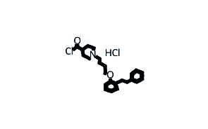 Cl.O=C(Cl)C1CCN(CCCCOc2ccccc2CCc2ccccc2)CC1